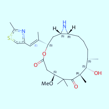 CO[C@H]1CC(=O)O[C@H](/C(C)=C/c2csc(C)n2)C[C@@H]2N[C@@H]2CCC[C@H](C)[C@H](O)[C@@H](C)C(=O)C1(C)C